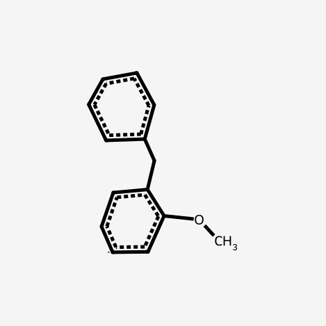 COc1c[c]ccc1Cc1ccccc1